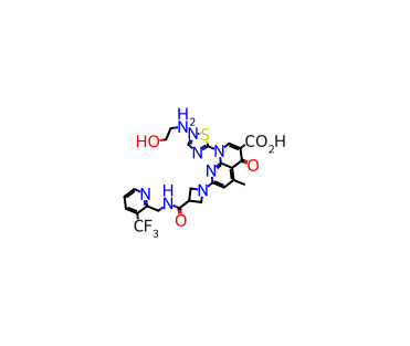 Cc1cc(N2CC(C(=O)NCc3ncccc3C(F)(F)F)C2)nc2c1c(=O)c(C(=O)O)cn2-c1ncns1.NCCO